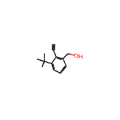 C#Cc1c([CH]O)cccc1C(C)(C)C